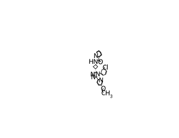 CCOc1ccc(-c2nnc([C@H]3C[C@H](NC(=O)c4ccccn4)C3)n2C2=CC=CC(Cl)C2)nc1